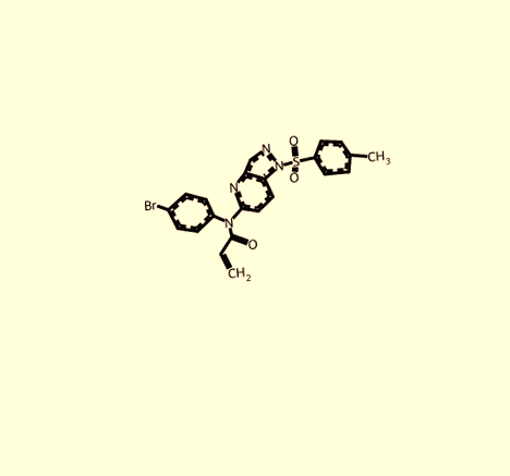 C=CC(=O)N(c1ccc(Br)cc1)c1ccc2c(cnn2S(=O)(=O)c2ccc(C)cc2)n1